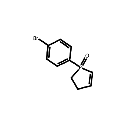 O=P1(c2ccc(Br)cc2)C=CCC1